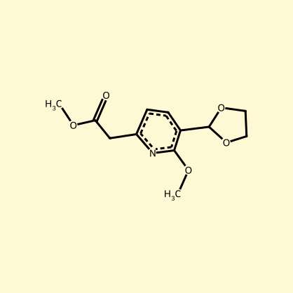 COC(=O)Cc1ccc(C2OCCO2)c(OC)n1